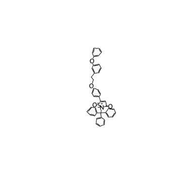 O=c1cc(-c2ccc(OCCc3cccc(Oc4ccccc4)c3)cc2)[s+]([O-])n1C(c1ccccc1)(c1ccccc1)c1ccccc1